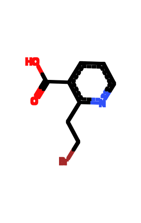 O=C(O)c1cccnc1CCBr